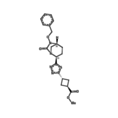 CC(C)(C)OC(=O)[C@H]1C[C@H](c2nnc([C@@H]3CC[C@@H]4CN3C(=O)N4OCc3ccccc3)s2)C1